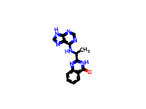 CC(Nc1ncnc2[nH]cnc12)c1nc2ccccc2c(=O)[nH]1